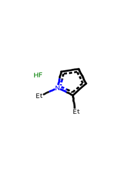 CCc1cccn1CC.F